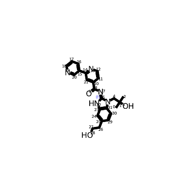 CC(C)(O)Cn1/c(=N/C(=O)c2ccnc(-c3cccnc3)c2)[nH]c2cc(CCO)ccc21